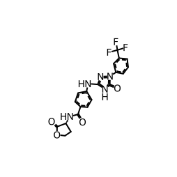 O=C(N[C@H]1CCOC1=O)c1ccc(Nc2nn(-c3cccc(C(F)(F)F)c3)c(=O)[nH]2)cc1